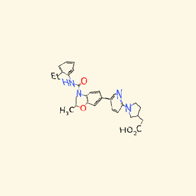 CCc1ccccc1NC(=O)N1CC(C)Oc2cc(-c3ccc(N4CCC(CC(=O)O)C4)nc3)ccc21